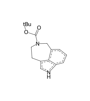 CC(C)(C)OC(=O)N1CCc2c[nH]c3cccc(c23)C1